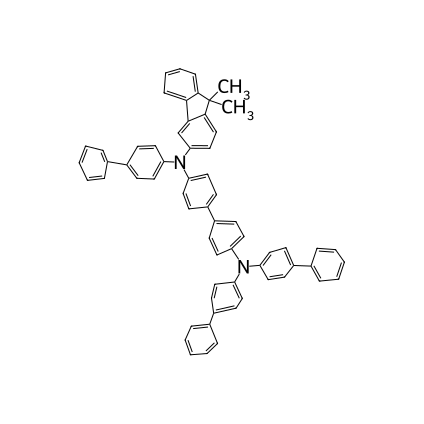 CC1(C)c2ccccc2-c2cc(N(c3ccc(-c4ccccc4)cc3)c3ccc(-c4ccc(N(c5ccc(-c6ccccc6)cc5)c5ccc(-c6ccccc6)cc5)cc4)cc3)ccc21